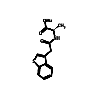 CC(C)COC(=O)[C@H](C)NC(=O)Cc1csc2ccccc12